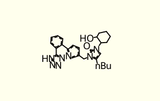 CCCCc1cn(C2CCCCC2O)c(=O)n1Cc1ccc(-c2ccccc2-c2nnn[nH]2)nc1